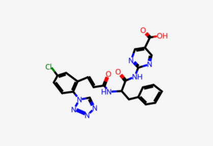 O=C(C=Cc1cc(Cl)ccc1-n1cnnn1)NC(Cc1ccccc1)C(=O)Nc1ncc(C(=O)O)cn1